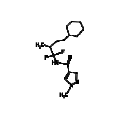 CC(CCC1CCCCC1)C(F)(F)NC(=O)c1cnn(C)c1